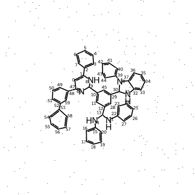 C1=C(c2ccccc2)NC(c2cc(C(Nc3ccccc3)Nc3ccccc3)cc(C3Nc4ccccc4N3c3ccccc3)c2)N=C1c1cccc(-c2ccccc2)c1